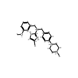 COc1cccc(CN(Cc2ccc(N3CCN(C)CC3)cc2)c2nc(C)cs2)c1